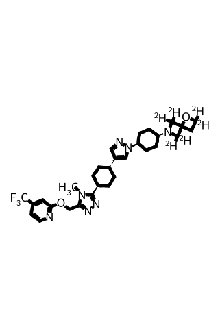 [2H]C1([2H])CC2(O1)C([2H])([2H])N([C@H]1CC[C@H](n3cc([C@H]4CC[C@H](c5nnc(COc6cc(C(F)(F)F)ccn6)n5C)CC4)cn3)CC1)C2([2H])[2H]